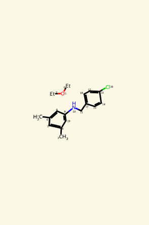 CCOCC.Cc1cc(C)cc(NCc2ccc(Cl)cc2)c1